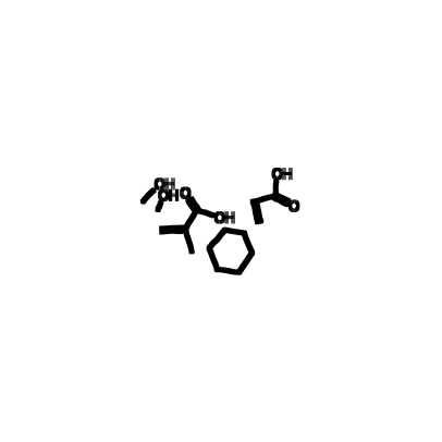 C1CCCCC1.C=C(C)C(=O)O.C=CC(=O)O.CO.CO